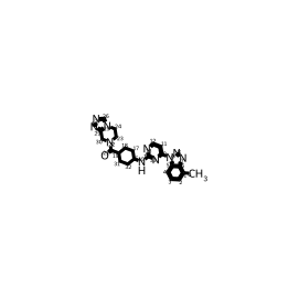 Cc1cccc2c1nnn2-c1ccnc(NC2CCC(C(=O)N3CCn4cnnc4C3)CC2)n1